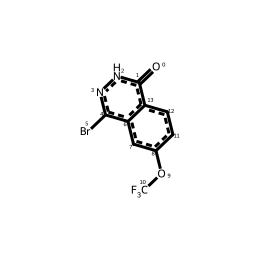 O=c1[nH]nc(Br)c2cc(OC(F)(F)F)ccc12